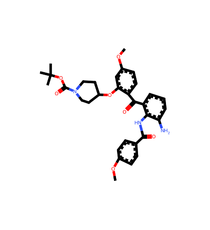 COc1ccc(C(=O)Nc2c(N)cccc2C(=O)c2ccc(OC)cc2OC2CCN(C(=O)OC(C)(C)C)CC2)cc1